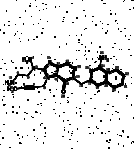 CC#CCn1c(N(C)CCN)nc2cnn(Cc3cc4ccccc4c(N)n3)c(=O)c21